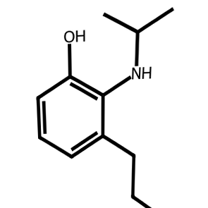 CCCc1cccc(O)c1NC(C)C